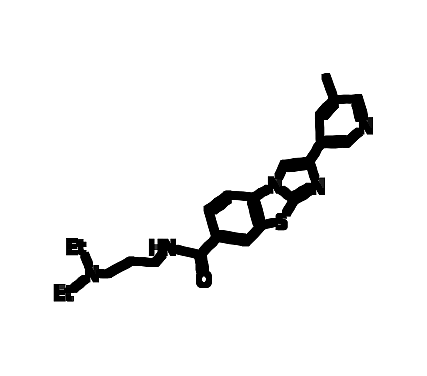 CCN(CC)CCCNC(=O)c1ccc2c(c1)sc1nc(-c3cncc(C)c3)cn12